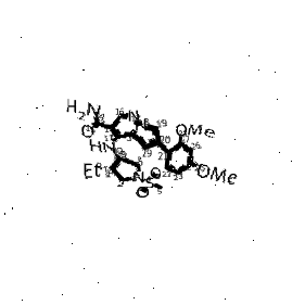 CC[C@H]1CN(S(C)(=O)=O)C[C@H]1Nc1c(C(N)=O)cnn2cc(-c3ccc(OC)cc3OC)cc12